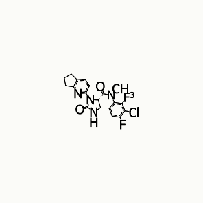 CN(C(=O)[C@@H]1CNC(=O)N1c1ccc2c(n1)CCC2)c1ccc(F)c(Cl)c1F